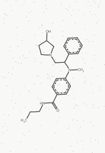 CCCNC(=O)c1ccc(N(C)C(CN2CCC(O)C2)c2ccccc2)cc1